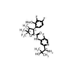 COc1c([C@H]2[C@H](C(=O)Nc3cc([C@@H](N)C(C)(C)O)ncc3F)O[C@@](C)(C(F)(F)F)[C@H]2C)ccc(F)c1F